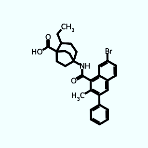 CCC1CCC2(NC(=O)c3c(C)c(-c4ccccc4)cc4ccc(Br)cc34)CCC1(C(=O)O)CC2